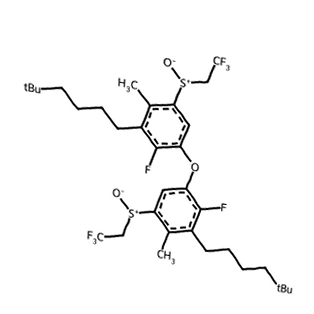 Cc1c([S+]([O-])CC(F)(F)F)cc(Oc2cc([S+]([O-])CC(F)(F)F)c(C)c(CCCCC(C)(C)C)c2F)c(F)c1CCCCC(C)(C)C